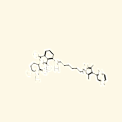 Cc1nn(CCCCCCNc2cccc3c2C(=O)N(C2CCC(=O)NC2=O)C3=O)c(C)c1-c1cnccn1